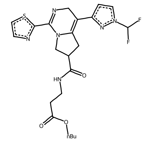 CCCCOC(=O)CCNC(=O)C1CC2=C(c3ccn(C(F)F)n3)CN=C(c3nccs3)N2C1